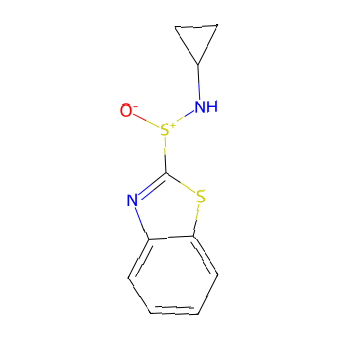 [O-][S+](NC1CC1)c1nc2ccccc2s1